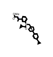 COC(=O)/C=C(\C)c1cccc(N(CC23CCC(c4ccc(C5CC5)cc4)(CC2)CC3)C(=O)C2CC2)c1